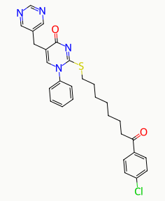 O=C(CCCCCCCSc1nc(=O)c(Cc2cncnc2)cn1-c1ccccc1)c1ccc(Cl)cc1